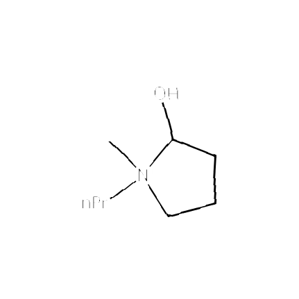 CCC[N+]1(C)CCCC1O